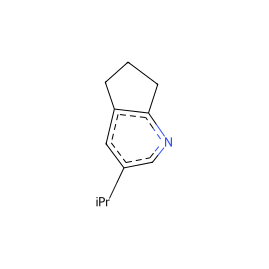 CC(C)c1cnc2c(c1)CCC2